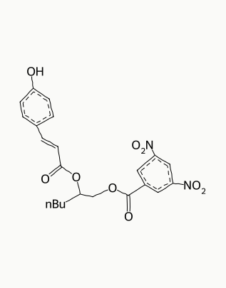 CCCCC(COC(=O)c1cc([N+](=O)[O-])cc([N+](=O)[O-])c1)OC(=O)/C=C/c1ccc(O)cc1